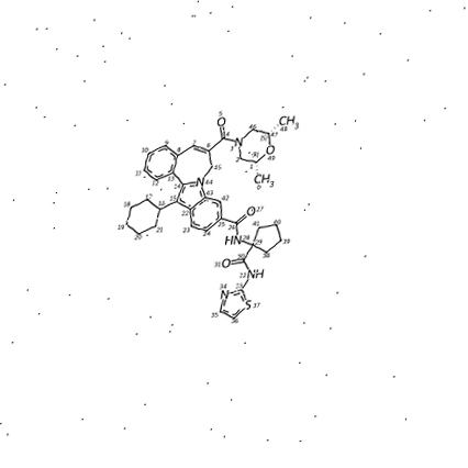 C[C@@H]1CN(C(=O)C2=Cc3ccccc3-c3c(C4CCCCC4)c4ccc(C(=O)NC5(C(=O)Nc6nccs6)CCCC5)cc4n3C2)C[C@H](C)O1